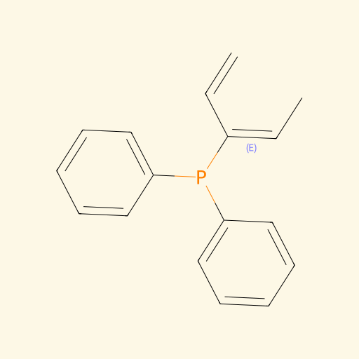 C=C/C(=C\C)P(c1ccccc1)c1ccccc1